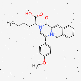 CCCCC(C(=O)O)n1cc(-c2ccc(OC)cc2)[n+]2cc3ccccc3cc2c1=O